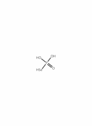 O=P(O)(O)[SeH]